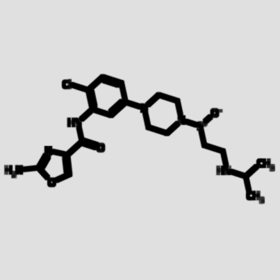 CC(C)NCC[S+]([O-])N1CCN(c2ccc(Cl)c(NC(=O)c3coc(N)n3)c2)CC1